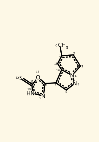 Cc1ccn2ncc(-c3n[nH]c(=S)o3)c2c1